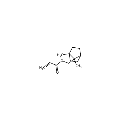 C=CC(=O)OCC1(C)C2CCC1(C)CC2